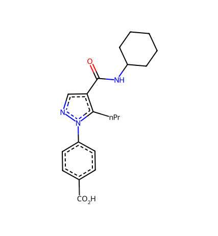 CCCc1c(C(=O)NC2CCCCC2)cnn1-c1ccc(C(=O)O)cc1